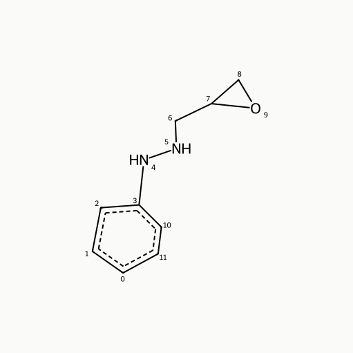 c1ccc(NNCC2CO2)cc1